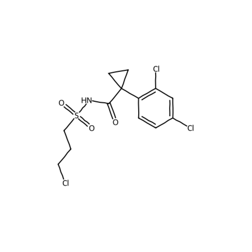 O=C(NS(=O)(=O)CCCCl)C1(c2ccc(Cl)cc2Cl)CC1